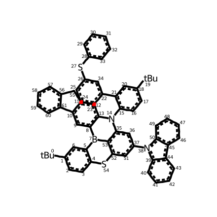 CC(C)(C)c1ccc2c(c1)B1c3cc4c(cc3N(c3ccc(C(C)(C)C)cc3-c3cccc(Sc5ccccc5)c3)c3cc(-n5c6ccccc6c6ccccc65)cc(c31)S2)Cc1ccccc1-4